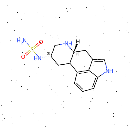 NS(=O)(=O)N[C@@H]1CN[C@@H]2Cc3c[nH]c4cccc(c34)C2C1